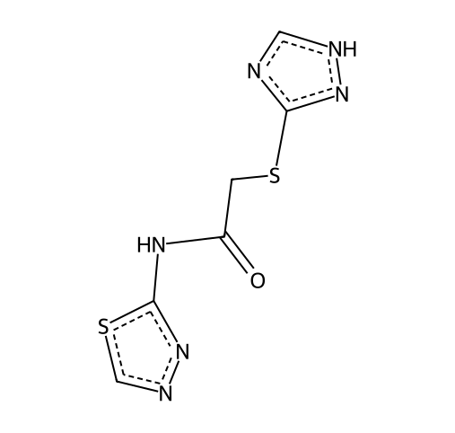 O=C(CSc1nc[nH]n1)Nc1nncs1